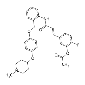 CC(=O)Oc1cc(/C=C/C(=O)Nc2ccccc2COc2ccc(OC3CCN(C)CC3)cc2)ccc1F